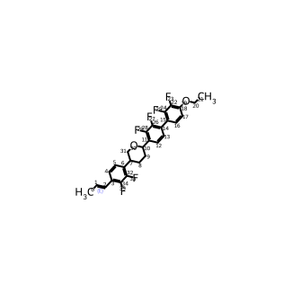 C/C=C/c1ccc(C2CCC(c3ccc(-c4ccc(OCC)c(F)c4F)c(F)c3F)OC2)c(F)c1F